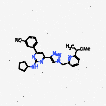 COC(C)c1cccc(Cn2cc(-c3cc(-c4cccc(C#N)c4)nc(NC4CCCC4)n3)nn2)n1